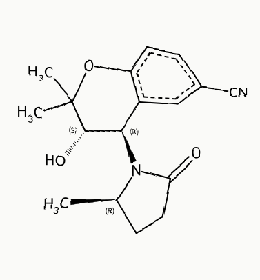 C[C@@H]1CCC(=O)N1[C@@H]1c2cc(C#N)ccc2OC(C)(C)[C@H]1O